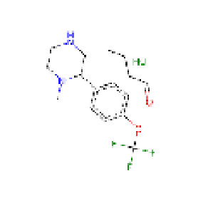 CCCC=O.CN1CCNCC1c1ccc(OC(F)(F)F)cc1.Cl